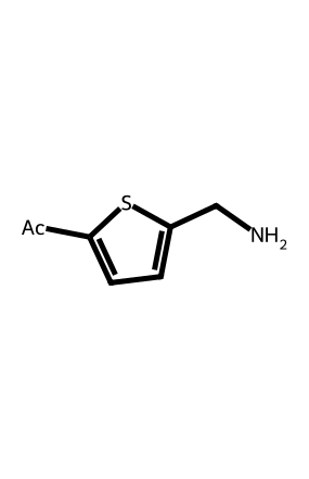 CC(=O)c1ccc(CN)s1